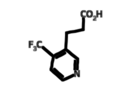 O=C(O)CCc1cnccc1C(F)(F)F